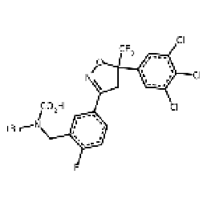 CC(C)(C)N(Cc1cc(C2=NOC(c3cc(Cl)c(Cl)c(Cl)c3)(C(F)(F)F)C2)ccc1F)C(=O)O